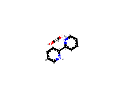 O=[Si]=O.c1ccc(-c2ccccn2)nc1